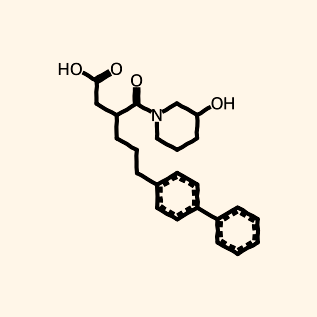 O=C(O)CC(CCCc1ccc(-c2ccccc2)cc1)C(=O)N1CCCC(O)C1